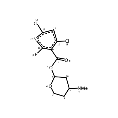 CNC1CCOC(OC(=O)c2c(Cl)cc(Cl)nc2F)C1